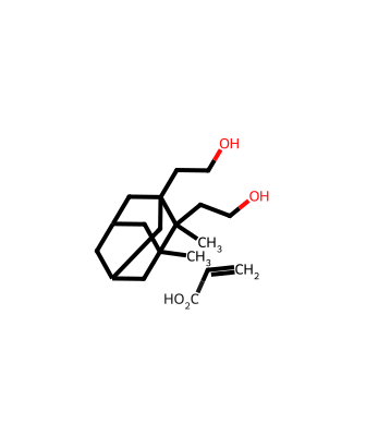 C=CC(=O)O.CC12CC3CC(C1)CC(CCO)(C3)C2(C)CCO